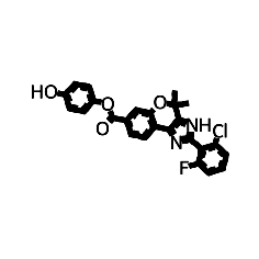 CC1(C)Oc2cc(C(=O)Oc3ccc(O)cc3)ccc2-c2nc(-c3c(F)cccc3Cl)[nH]c21